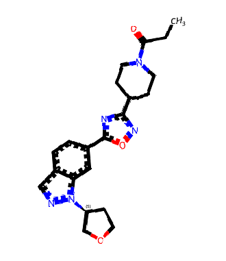 CCC(=O)N1CCC(c2noc(-c3ccc4cnn([C@H]5CCOC5)c4c3)n2)CC1